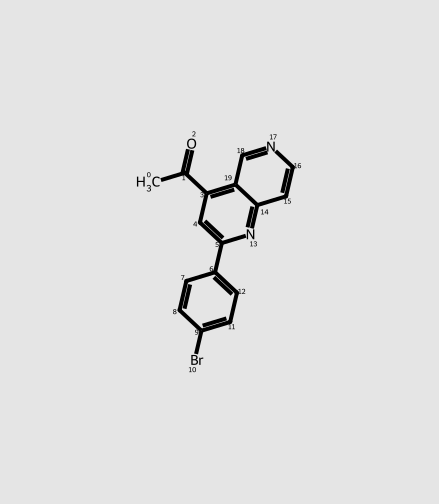 CC(=O)c1cc(-c2ccc(Br)cc2)nc2ccncc12